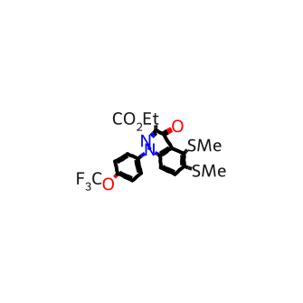 CCOC(=O)c1nn(-c2ccc(OC(F)(F)F)cc2)c2ccc(SC)c(SC)c2c1=O